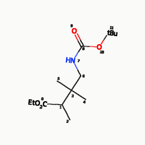 CCOC(=O)C(C)C(C)(C)CNC(=O)OC(C)(C)C